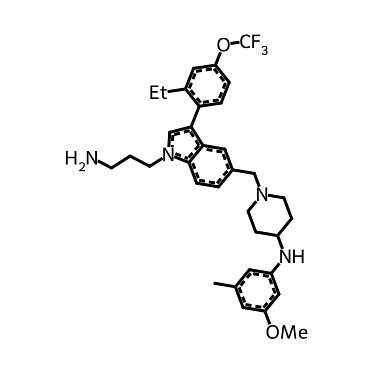 CCc1cc(OC(F)(F)F)ccc1-c1cn(CCCN)c2ccc(CN3CCC(Nc4cc(C)cc(OC)c4)CC3)cc12